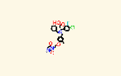 Cc1cc(CN(CC2CCCCC2)[C@@H](CC(=O)O)c2ccc(Cl)c(F)c2)ccc1OCCN1C(=O)CN(C)C1=O